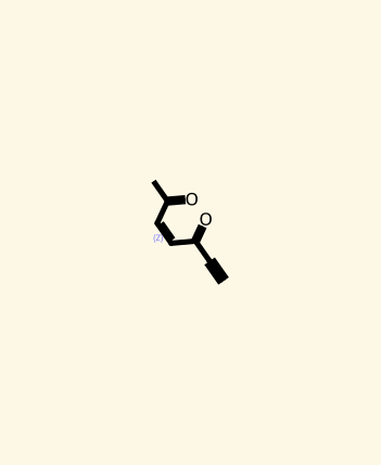 C#CC(=O)/C=C\C(C)=O